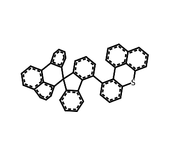 c1ccc2c(c1)-c1c(-c3cccc4c3-c3cccc5cccc(c35)S4)cccc1C21c2ccccc2-c2cccc3cccc1c23